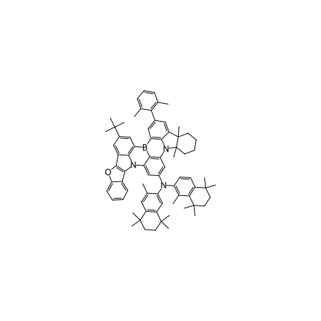 Cc1cc2c(cc1N(c1cc3c4c(c1)-n1c5c(cc(C(C)(C)C)cc5c5oc6ccccc6c51)B4c1cc(-c4c(C)cccc4C)cc4c1N3C1(C)CCCCC41C)c1ccc3c(c1C)C(C)(C)CCC3(C)C)C(C)(C)CCC2(C)C